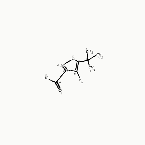 CC(C)(C)c1onc(C(=O)O)c1F